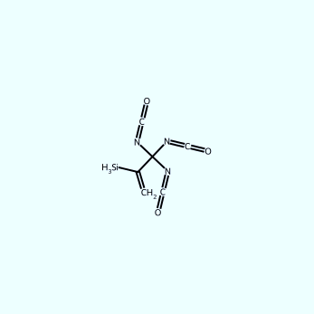 C=C([SiH3])C(N=C=O)(N=C=O)N=C=O